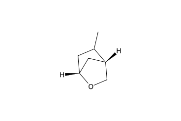 CC1C[C@@H]2C[C@H]1CO2